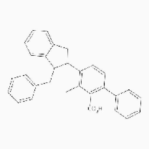 Cc1c(C2Cc3ccccc3C2Cc2ccccc2)ccc(-c2ccccc2)c1C(=O)O